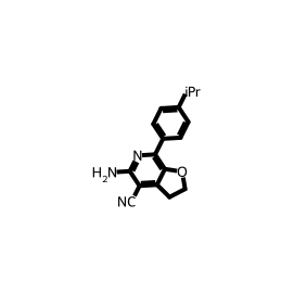 CC(C)c1ccc(-c2nc(N)c(C#N)c3c2OCC3)cc1